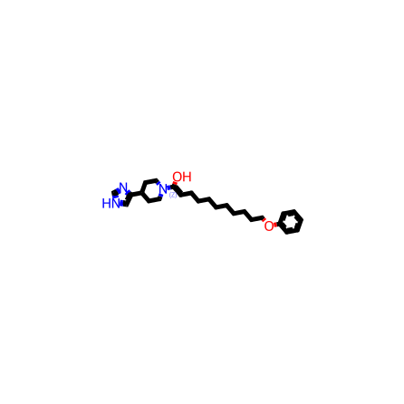 O/C(=C\CCCCCCCCCOc1ccccc1)N1CCC(c2c[nH]cn2)CC1